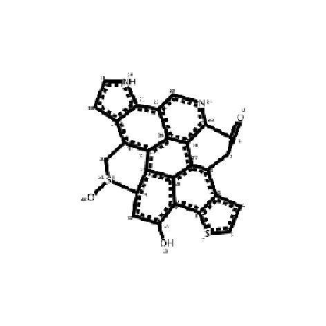 O=C1Cc2c3ccsc3c3c(O)cc4c5c6c(c7cc[nH]c7c7cnc1c(c2c35)c76)C[S+]4[O-]